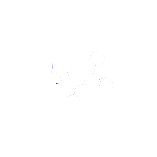 O=C=C1CS[C@@H]2C(NC=O)C(=O)N2C1C(=O)OC(c1ccccc1)c1ccccc1